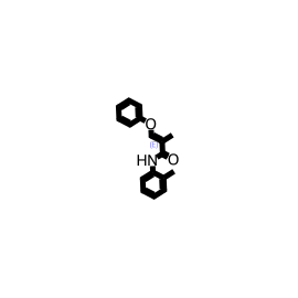 C/C(=C\Oc1ccccc1)C(=O)Nc1ccccc1C